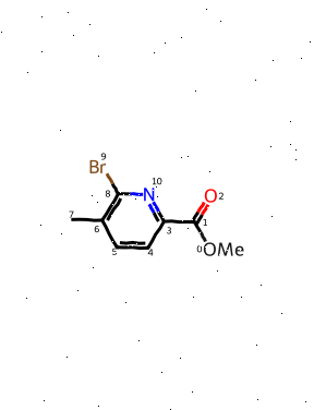 COC(=O)c1ccc(C)c(Br)n1